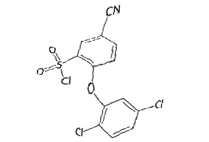 N#Cc1ccc(Oc2cc(Cl)ccc2Cl)c(S(=O)(=O)Cl)c1